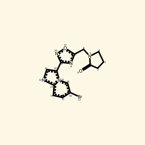 O=C1CCCN1Cc1nc(-c2cnc3ccc(Br)cn23)no1